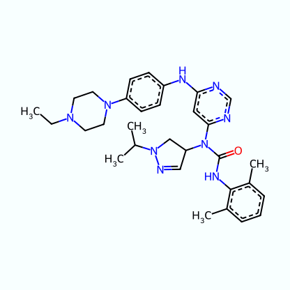 CCN1CCN(c2ccc(Nc3cc(N(C(=O)Nc4c(C)cccc4C)C4C=NN(C(C)C)C4)ncn3)cc2)CC1